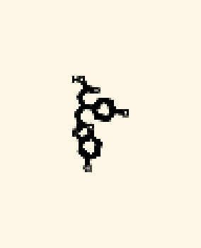 O=C(O)CC(Cc1nc2cc(Cl)ccc2o1)c1ccc(Cl)cc1